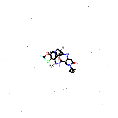 C[C@@H](NC(=O)c1cn(C23CC(C2)C3)c(=O)cc1NC1[C@H]2CN(C)C[C@@H]12)c1cccc(OC(F)F)c1Cl